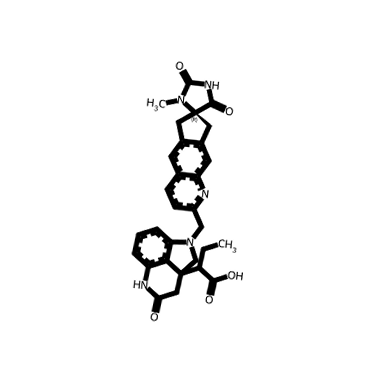 CCC(C(=O)O)C12CC(=O)Nc3cccc(c31)N(Cc1ccc3cc4c(cc3n1)C[C@]1(C4)C(=O)NC(=O)N1C)C2